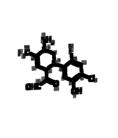 NN1CN(c2cc(O)c(Cl)cc2F)C(C(=O)C=O)C=C1C(F)(F)F